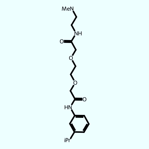 CNCCNC(=O)COCCOCC(=O)Nc1cccc(C(C)C)c1